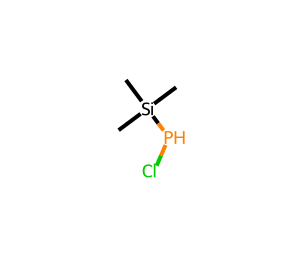 C[Si](C)(C)PCl